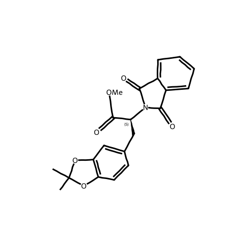 COC(=O)[C@H](Cc1ccc2c(c1)OC(C)(C)O2)N1C(=O)c2ccccc2C1=O